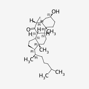 CC(C)CCC[C@@H](C)[C@H]1CC[C@H]2[C@@H]3C(=O)[C@@H]4C[C@@]45C[C@@H](O)CC[C@]5(C)[C@H]3CC[C@]12C